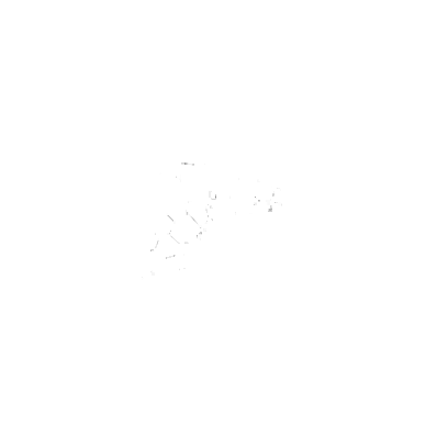 CN(C)C=O.COc1ccc(C(=O)c2sc(NC3CCN(S(=O)(=O)O)CC3)nc2N)cc1F